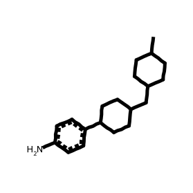 CC1CCC(CC2CCC(c3ccc(N)cc3)CC2)CC1